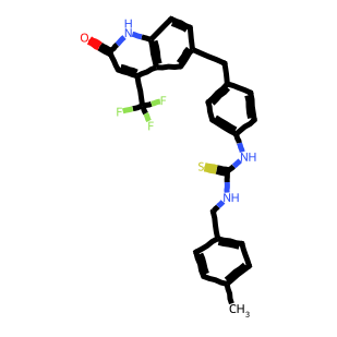 Cc1ccc(CNC(=S)Nc2ccc(Cc3ccc4[nH]c(=O)cc(C(F)(F)F)c4c3)cc2)cc1